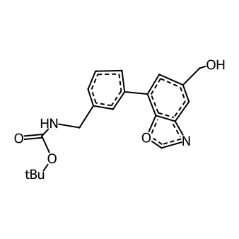 CC(C)(C)OC(=O)NCc1cccc(-c2cc(CO)cc3ncoc23)c1